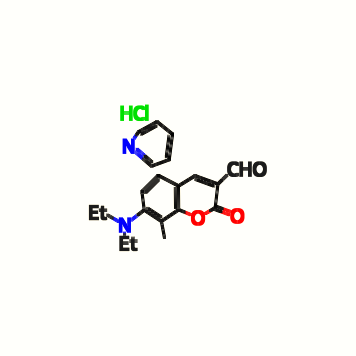 CCN(CC)c1ccc2cc(C=O)c(=O)oc2c1C.Cl.c1ccncc1